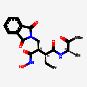 CNC(=O)[C@@H](NC(=O)[C@H](CC(C)C)[C@H](CN1C(=O)c2ccccc2C1=O)C(=O)NO)C(C)(C)C